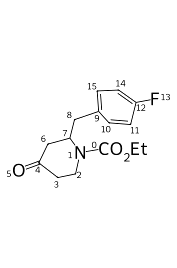 CCOC(=O)N1CCC(=O)CC1Cc1ccc(F)cc1